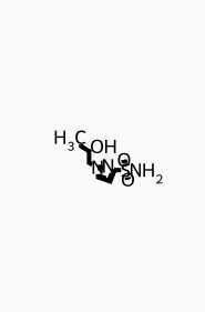 CC[C@H](O)Cn1ccc(S(N)(=O)=O)n1